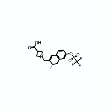 C[C@H]1Cc2cc(OS(=O)(=O)C(F)(F)F)ccc2C=C1CN1CC(C(=O)O)C1